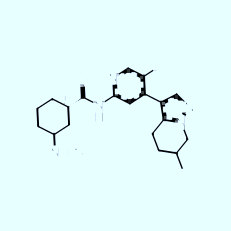 CC(=O)NC1CCC[C@@H](C(=O)Nc2cc(-c3cnn4c3CCC(C)C4)c(Cl)cn2)C1